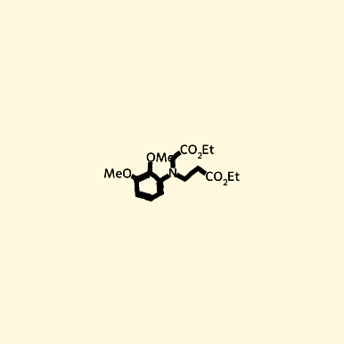 CCOC(=O)CCN(CC(=O)OCC)c1cccc(OC)c1OC